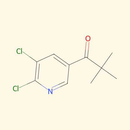 CC(C)(C)C(=O)c1cnc(Cl)c(Cl)c1